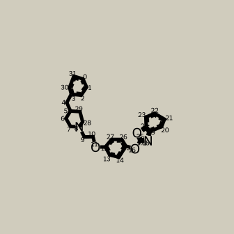 c1ccc(CC2CCN(CCOc3ccc(Oc4nc5ccccc5o4)cc3)CC2)cc1